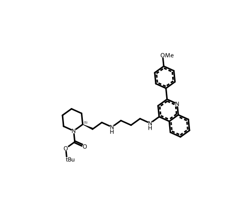 COc1ccc(-c2cc(NCCCNCC[C@@H]3CCCCN3C(=O)OC(C)(C)C)c3ccccc3n2)cc1